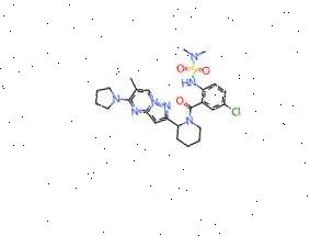 Cc1cn2nc(C3CCCCN3C(=O)c3cc(Cl)ccc3NS(=O)(=O)N(C)C)cc2nc1N1CCCC1